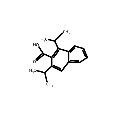 CC(C)c1cc2ccccc2c(C(C)C)c1C(=O)O